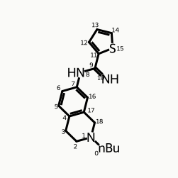 CCCCN1CCc2ccc(NC(=N)c3cccs3)cc2C1